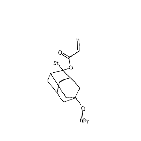 C=CC(=O)OC1(CC)C2CC3CC1CC(OCCC)(C3)C2